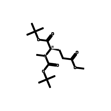 COC(=O)CC[C@@H](C(=O)OC(C)(C)C)N(C)C(=O)OC(C)(C)C